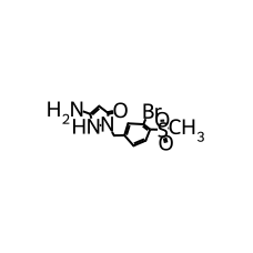 CS(=O)(=O)c1ccc(Cn2[nH]c(N)cc2=O)cc1Br